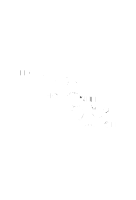 CCCCCC(O)c1cccc(NC(=O)c2cccc(C(=O)O)c2C)c1